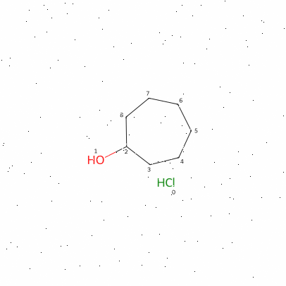 Cl.OC1CCCCCC1